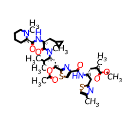 COC(=O)[C@@H](C)C[C@H](Cc1nc(C)cs1)NC(=O)c1csc([C@@H](C[C@H](C(C)C)N(C)C(=O)[C@H](CC2CC2)NC(=O)[C@H]2CCCCN2C)OC(C)=O)n1